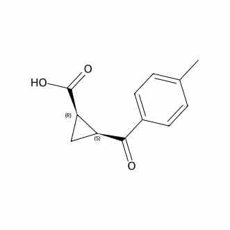 Cc1ccc(C(=O)[C@H]2C[C@H]2C(=O)O)cc1